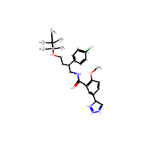 COc1ccc(C2C=NN=N2)cc1C(=O)NCC(CCO[Si](C)(C)C(C)(C)C)c1ccc(F)cc1